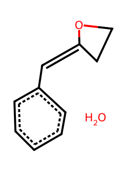 C(=C1CCO1)c1ccccc1.O